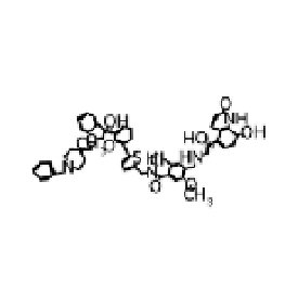 COc1cc(C(=O)NCc2ccc(-c3cccc([C@](O)(C(=O)OCC4(C)CCN(Cc5ccccc5)CC4)c4ccccc4)c3)s2)c(Cl)cc1CNC[C@H](O)C1=CCC(O)c2[nH]c(=O)ccc21